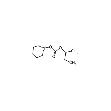 CCC(C)OC(=O)ON1CCCCC1